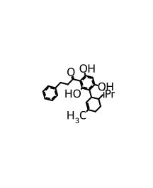 CC1=CC(c2c(O)cc(O)c(C(=O)CCc3ccccc3)c2O)C(C(C)C)CC1